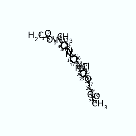 C=CC(=O)OCCN(C)c1ccc(N=Nc2ccc(N=Nc3ccc(OCCCCOC(=O)CC)cc3Cl)cc2)cc1